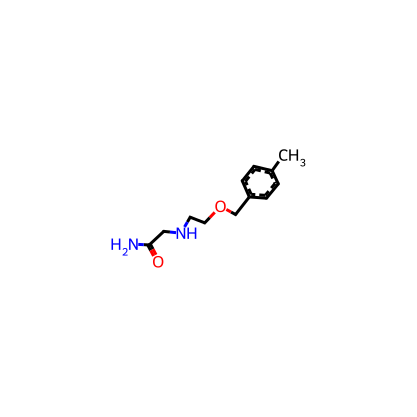 Cc1ccc(COCCNCC(N)=O)cc1